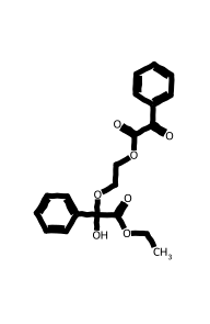 CCOC(=O)C(O)(OCCOC(=O)C(=O)c1ccccc1)c1ccccc1